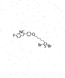 N#C/C(=C\c1ccc(F)cc1)c1ccc(OCCCCCCc2cc(Br)sc2Br)cc1